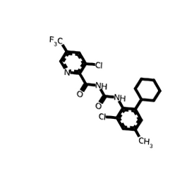 Cc1cc(Cl)c(NC(=O)NC(=O)c2ncc(C(F)(F)F)cc2Cl)c(C2CCCCC2)c1